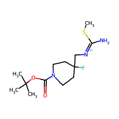 CS/C(N)=N\CC1(F)CCN(C(=O)OC(C)(C)C)CC1